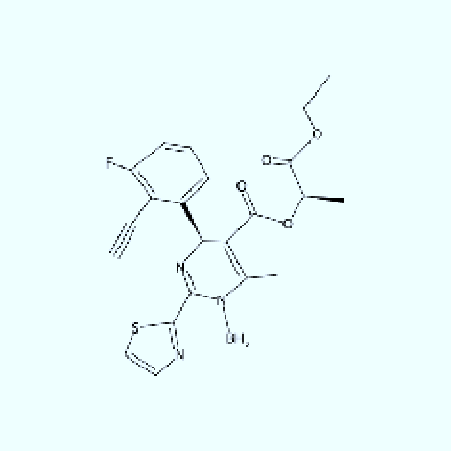 BN1C(c2nccs2)=N[C@@H](c2cccc(F)c2C#C)C(C(=O)O[C@H](C)C(=O)OCC)=C1C